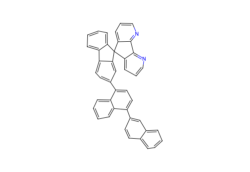 c1ccc2c(c1)-c1ccc(-c3ccc(-c4ccc5ccccc5c4)c4ccccc34)cc1C21c2cccnc2-c2ncccc21